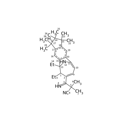 CCC1C(C(=N)C(C)(C)C#N)=CC=C2NC1(CC)c1cc3c(cc12)C(C)(C)C(C)(C)C3(C)C